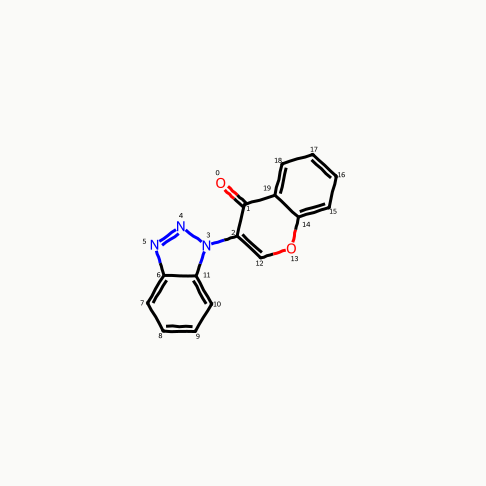 O=c1c(-n2nnc3ccccc32)coc2ccccc12